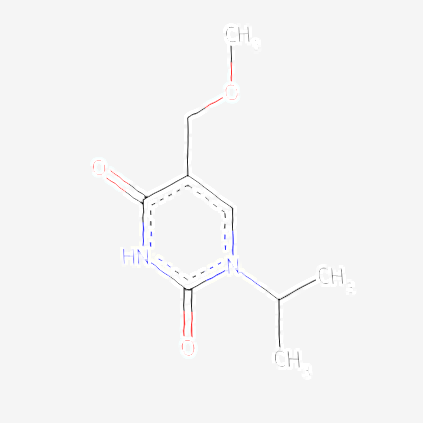 COCc1cn(C(C)C)c(=O)[nH]c1=O